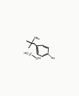 CCCCC(C)(C)c1ccc(O)cc1.O=C(O)O